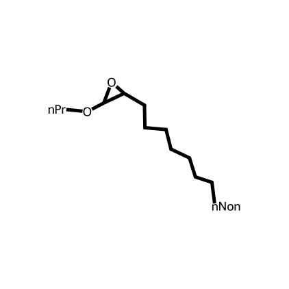 CCCCCCCCCCCCCCCCC1OC1OCCC